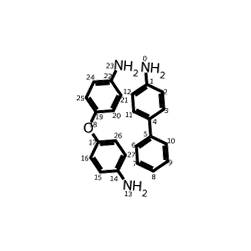 Nc1ccc(-c2ccccc2)cc1.Nc1ccc(Oc2ccc(N)cc2)cc1